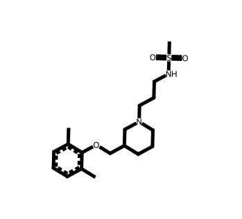 Cc1cccc(C)c1OCC1CCCN(CCCNS(C)(=O)=O)C1